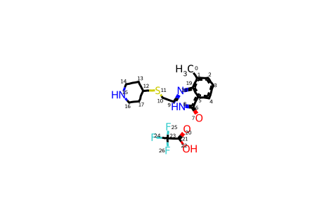 Cc1cccc2c(=O)[nH]c(CSC3CCNCC3)nc12.O=C(O)C(F)(F)F